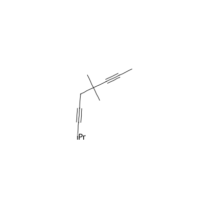 [CH2]C(C)C#CCC(C)(C)C#CC